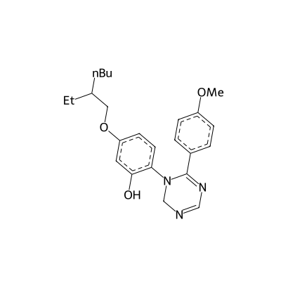 CCCCC(CC)COc1ccc(N2CN=CN=C2c2ccc(OC)cc2)c(O)c1